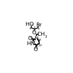 CC(OC(CO)CBr)n1ccc(=O)[nH]c1=O